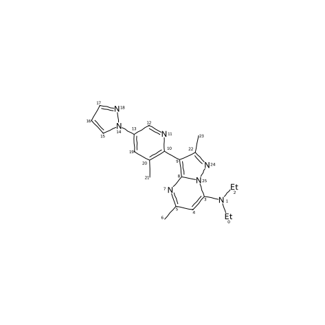 CCN(CC)c1cc(C)nc2c(-c3ncc(-n4cccn4)cc3C)c(C)nn12